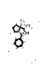 C[C@]1([C@@H](O)C(F)(F)F)CCCN1Cc1ccccc1